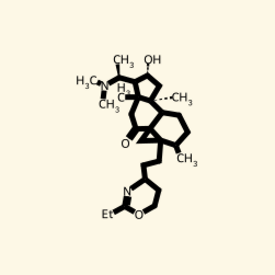 CCC1=NC(CCC23CC24C(=O)CC2(C)C([C@H](C)N(C)C)[C@H](O)C[C@@]2(C)C4CCC3C)CCO1